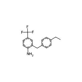 CCc1ccc(Cc2cc(C(F)(F)F)ccc2N)cc1